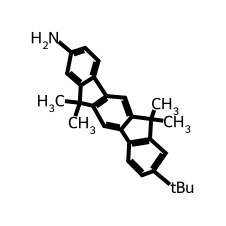 CC(C)(C)c1ccc2c(c1)C(C)(C)c1cc3c(cc1-2)C(C)(C)c1cc(N)ccc1-3